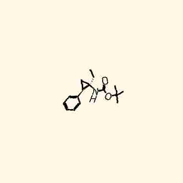 CC[C@@]1(NC(=O)OC(C)(C)C)C[C@@H]1c1ccccc1